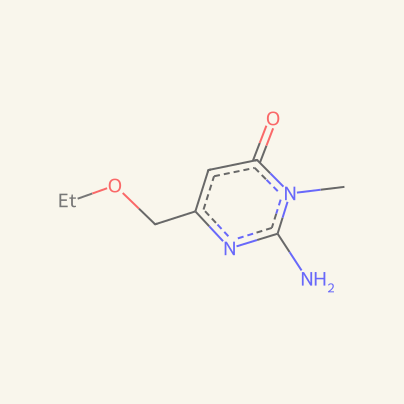 CCOCc1cc(=O)n(C)c(N)n1